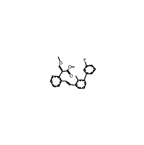 COC=C(C(=O)OC)c1ccccc1C=Cc1cccc(-c2cccc(F)c2)c1C